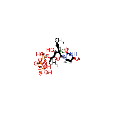 CC#CC1(Cl)[C@@H](O)[C@@H]([C@@H](C)OP(=O)(O)OP(=O)(O)OP(=O)(O)O)O[C@H]1n1ccc(=O)[nH]c1=O